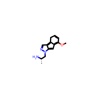 COC1=C2C=c3c(cnn3C[C@H](C)N)=C2CC=C1